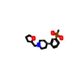 CS(=O)(=O)c1cccc(C2CCN(CC3CCCO3)CC2)c1